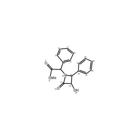 COC(=O)C(c1ccccc1)N1C(=O)C(O)C1c1ccccc1